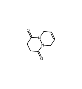 O=C1CCC(=O)N2CC=CCN12